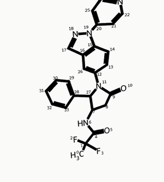 CC(F)(F)C(=O)NC1CC(=O)N(c2ccc3c(cnn3-c3ccncc3)c2)C1c1ccccc1